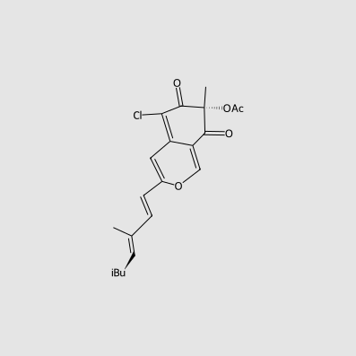 CC[C@H](C)/C=C(C)/C=C/C1=CC2=C(Cl)C(=O)[C@](C)(OC(C)=O)C(=O)C2=CO1